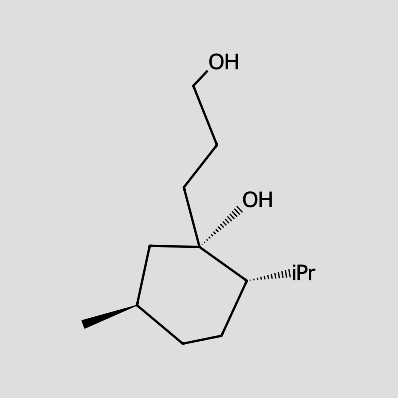 CC(C)[C@@H]1CC[C@@H](C)C[C@@]1(O)CCCO